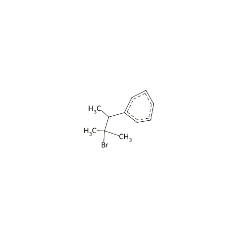 CC(c1ccccc1)C(C)(C)Br